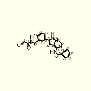 C[C@@H](Nc1ncnc2[nH]c(-c3cccc(CNC(=O)CCl)c3)cc12)c1ccccc1